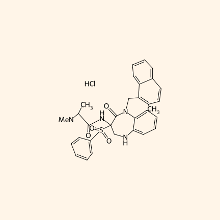 CNC(C)C(=O)NC1(S(=O)(=O)c2ccccc2)CNc2ccccc2N(Cc2c(C)ccc3ccccc23)C1=O.Cl